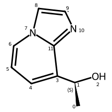 C[C@H](O)c1cccn2c[c]nc12